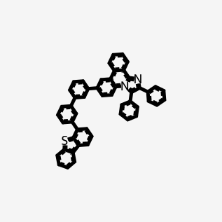 c1ccc(-c2nc3c4ccccc4c4cc(-c5cccc(-c6cccc(-c7cccc8c7sc7ccccc78)c6)c5)ccc4n3c2-c2ccccc2)cc1